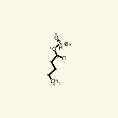 CCCCC(Cl)O[SH](=O)=O